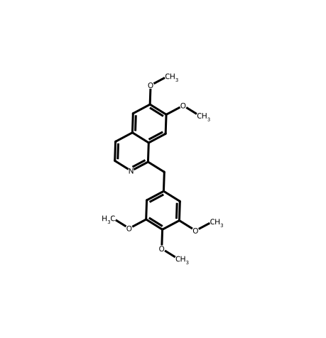 COc1cc2ccnc(Cc3cc(OC)c(OC)c(OC)c3)c2cc1OC